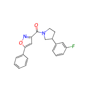 O=C(c1cc(-c2ccccc2)on1)N1CCC(c2cccc(F)c2)C1